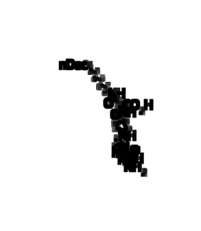 CCCCCCCCCCCCCCCCCCNC(=O)CC[C@H](NC(=O)c1ccc(NCc2cnc3nc(N)[nH]c(=O)c3n2)cc1)C(=O)O